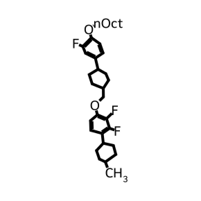 CCCCCCCCOc1ccc(C2CCC(COc3ccc(C4CCC(C)CC4)c(F)c3F)CC2)cc1F